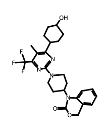 Cc1c(C2CCC(O)CC2)nc(N2CCC(N3C(=O)OCc4ccccc43)CC2)nc1C(F)(F)F